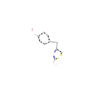 COc1ccc(Cc2csc(C)n2)cc1